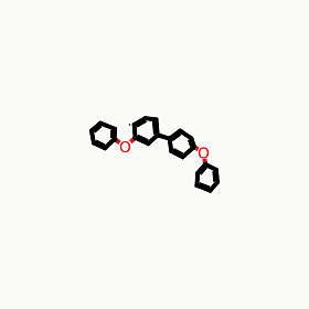 [c]1ccc(-c2ccc(Oc3ccccc3)cc2)cc1Oc1ccccc1